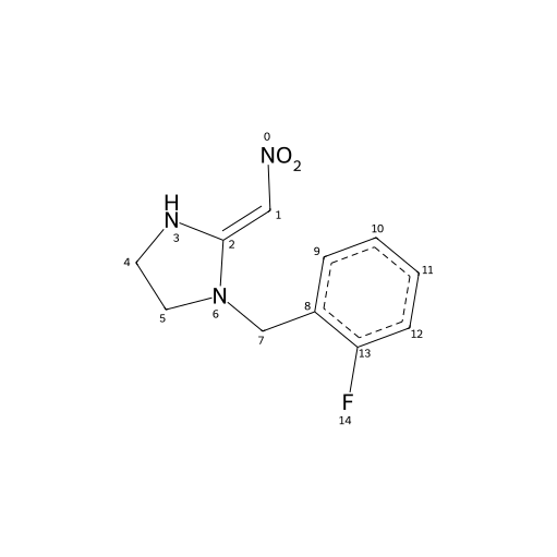 O=[N+]([O-])C=C1NCCN1Cc1ccccc1F